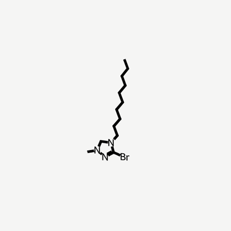 CCCCCCCCCCN1CN(C)N=C1Br